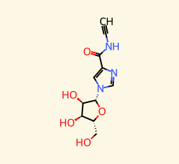 C#CNC(=O)c1cn([C@@H]2O[C@H](CO)[C@@H](O)[C@H]2O)cn1